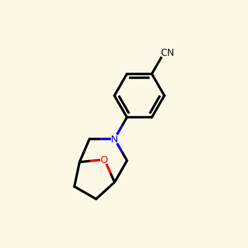 N#Cc1ccc(N2CC3CCC(C2)O3)cc1